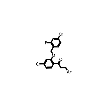 CC(=O)CCC(=O)c1ccc(Cl)cc1OCc1ccc(Br)cc1F